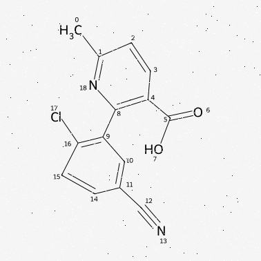 Cc1ccc(C(=O)O)c(-c2cc(C#N)ccc2Cl)n1